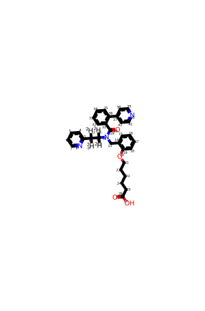 [2H]C([2H])(c1ccccn1)C([2H])([2H])N(Cc1ccccc1OCCCCCC(=O)O)C(=O)c1ccccc1-c1ccncc1